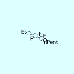 CCCCCOC1CCC(C2CCC(C3CCC(CC)CC3)C(F)C2)C(F)C1F